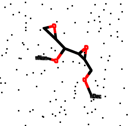 CCCCCCCCCCOCC1OC1C(OCCCCCCCCC)C1CO1